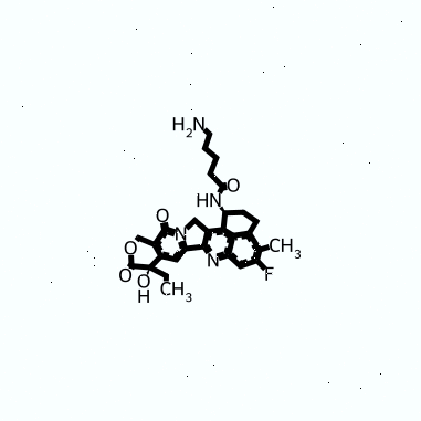 CC[C@@]1(O)C(=O)OCc2c1cc1n(c2=O)Cc2c-1nc1cc(F)c(C)c3c1c2[C@@H](NC(=O)CCCCN)CC3